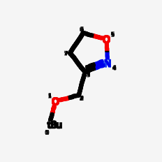 CC(C)(C)OCC1=NOCC1